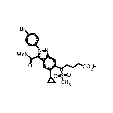 CNC(=O)c1c2cc(C3CC3)c(N(CCCC(=O)O)S(C)(=O)=O)cc2nn1-c1ccc(Br)cc1